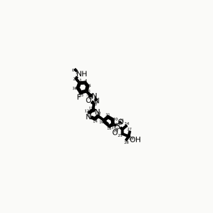 CNCc1ccc(-c2nnc(-c3cncc(-c4ccc(S(=O)(=O)C(C)CC(C)(C)O)cc4)n3)o2)c(F)c1